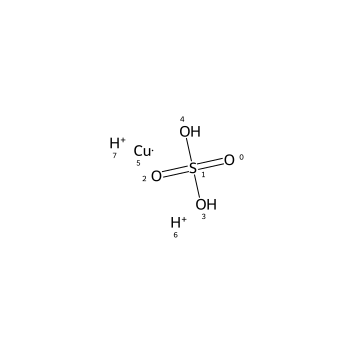 O=S(=O)(O)O.[Cu].[H+].[H+]